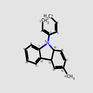 C/C=C\C(=C/C)N1c2ccccc2C2C=C(C)C=CC21